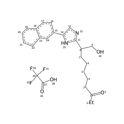 CCC(=O)CCCCCC(CO)c1ncc(-c2ccc3ccccc3c2)[nH]1.O=C(O)C(F)(F)F